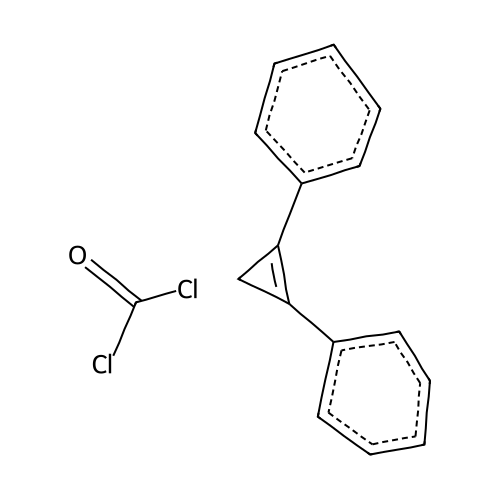 O=C(Cl)Cl.c1ccc(C2=C(c3ccccc3)C2)cc1